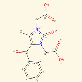 Cc1c(C(=O)c2ccccc2)n(CC(=O)O)c(=O)n1CC(=O)O